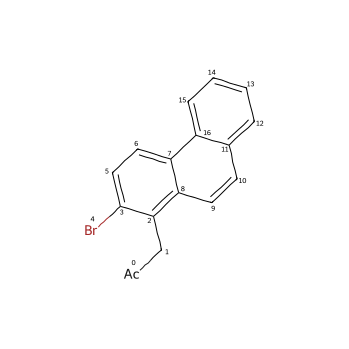 CC(=O)Cc1c(Br)ccc2c1ccc1ccccc12